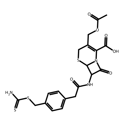 CC(=O)OCC1=C(C(=O)O)N2C(=O)C(NC(=O)Cc3ccc(CSC(N)=S)cc3)C2SC1